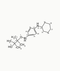 CC(C)(O)C(C)(C)OBc1ccc(NC2CCCCC2)cc1